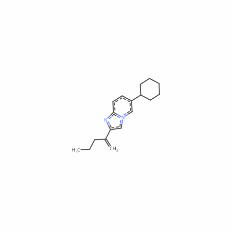 C=C(CCC)c1cn2cc(C3CCCCC3)ccc2n1